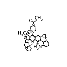 C=CC(=O)N1CCN(c2c(S(C)(=O)=O)c(=O)n(CC34CCCN3CCC4)c3c(F)c(-c4c(N)cccc4F)c(Cl)cc23)CC1